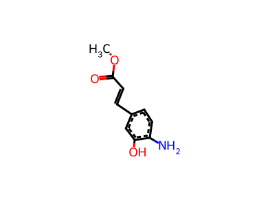 COC(=O)C=Cc1ccc(N)c(O)c1